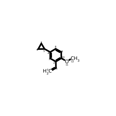 C=[C]c1cc(C2CC2)ccc1OC